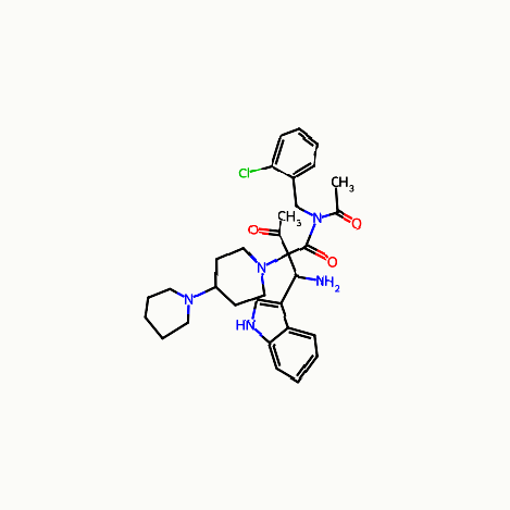 CC(=O)N(Cc1ccccc1Cl)C(=O)C(C(C)=O)(C(N)c1c[nH]c2ccccc12)N1CCC(N2CCCCC2)CC1